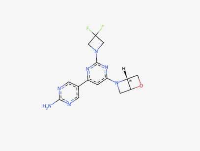 Nc1ncc(-c2cc(N3CC4OC[C@H]43)nc(N3CC(F)(F)C3)n2)cn1